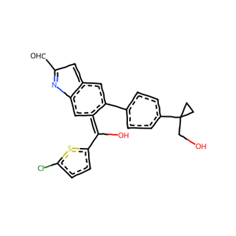 O=CC1=Nc2cc(=C(O)c3ccc(Cl)s3)c(-c3ccc(C4(CO)CC4)cc3)cc2=C1